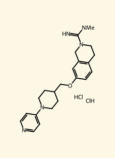 CNC(=N)N1CCc2ccc(OCC3CCN(c4ccncc4)CC3)cc2C1.Cl.Cl